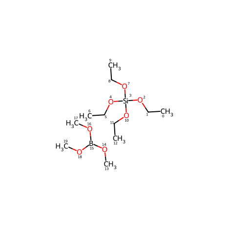 CCO[Si](OCC)(OCC)OCC.COB(OC)OC